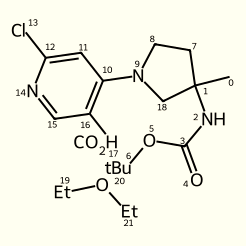 CC1(NC(=O)OC(C)(C)C)CCN(c2cc(Cl)ncc2C(=O)O)C1.CCOCC